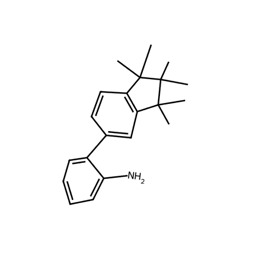 CC1(C)c2ccc(-c3ccccc3N)cc2C(C)(C)C1(C)C